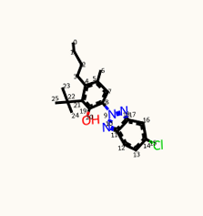 CCCCc1c(C)cc(-n2nc3ccc(Cl)cc3n2)c(O)c1C(C)(C)C